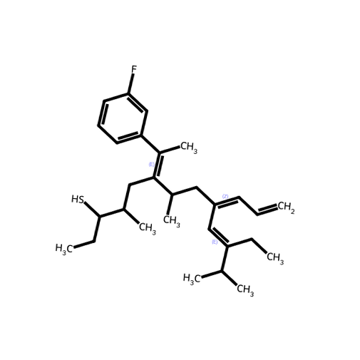 C=C/C=C(\C=C(/CC)C(C)C)CC(C)/C(CC(C)C(S)CC)=C(\C)c1cccc(F)c1